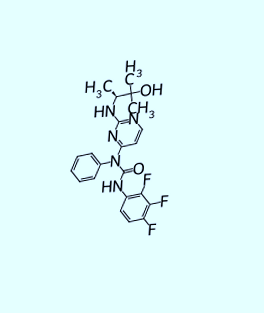 C[C@H](Nc1nccc(N(C(=O)Nc2ccc(F)c(F)c2F)c2ccccc2)n1)C(C)(C)O